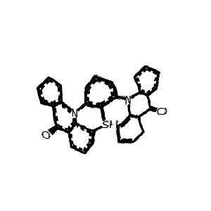 O=C1c2ccccc2N2C3=C(C=CCC13)[SH]1c3c2cccc3-n2c3ccccc3c(=O)c3cccc1c32